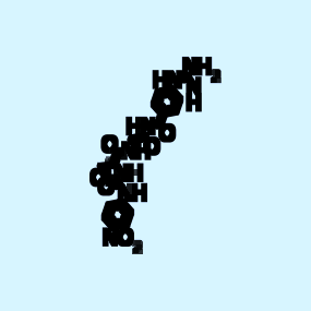 N=C(N)Nc1ccc(C(=O)NC(=O)CNC(=O)[C@H](CO)NC(=O)Nc2ccc([N+](=O)[O-])cc2)cc1